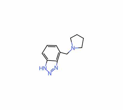 c1cc(CN2CCCC2)c2nn[nH]c2c1